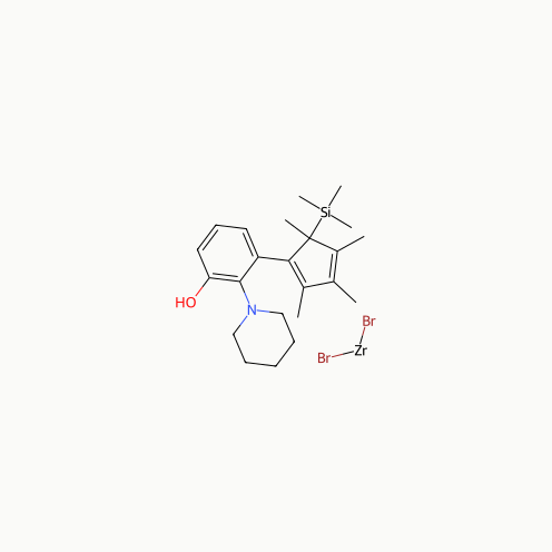 CC1=C(C)C(C)([Si](C)(C)C)C(c2cccc(O)c2N2CCCCC2)=C1C.[Br][Zr][Br]